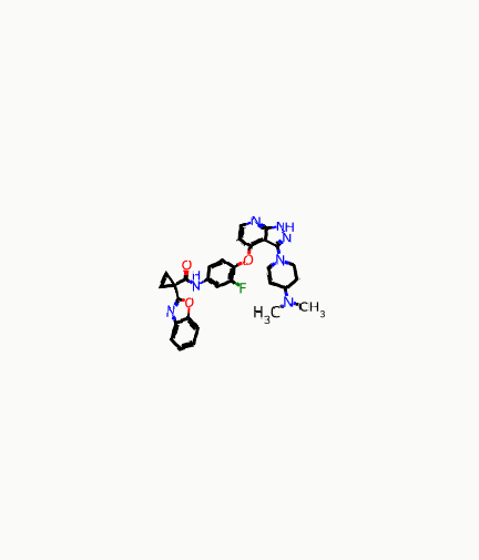 CN(C)C1CCN(c2n[nH]c3nccc(Oc4ccc(NC(=O)C5(c6nc7ccccc7o6)CC5)cc4F)c23)CC1